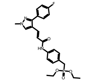 CCOP(=O)(Cc1ccc(NC(=O)/C=C/c2cn(C)nc2-c2ccc(F)cc2)cc1)OCC